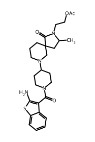 CC(=O)OCCN1C(=O)C2(CCCN(C3CCN(C(=O)c4c(N)sc5ccccc45)CC3)C2)CC1C